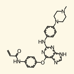 C=CC(=O)Nc1ccc(Oc2nc(Nc3ccc(N4CCN(C)CC4)cc3)nc3[nH]cnc23)cc1